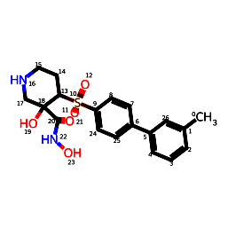 Cc1cccc(-c2ccc(S(=O)(=O)C3CCNCC3(O)C(=O)NO)cc2)c1